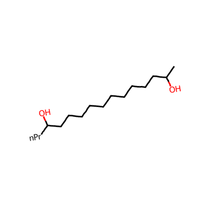 CCCC(O)CCCCCCCCCCC(C)O